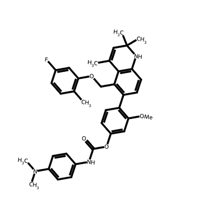 COc1cc(OC(=O)Nc2ccc(N(C)C)cc2)ccc1-c1ccc2c(c1COc1cc(F)ccc1C)C(C)=CC(C)(C)N2